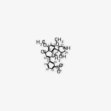 COc1cc(OC)c2c(=O)cc(-c3cccc([N+](=O)[O-])c3)oc2c1[C@@]1(C)CCNC[C@H]1O